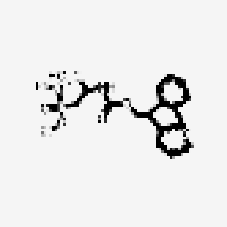 CCOP(=O)(CC(NC(=O)OCC1c2ccccc2-c2ccccc21)C(=O)O)OCC